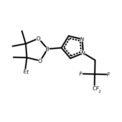 CCC1(C)OB(c2cnn(CC(F)(F)C(F)(F)F)c2)OC1(C)C